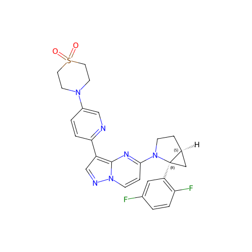 O=S1(=O)CCN(c2ccc(-c3cnn4ccc(N5CC[C@H]6C[C@]65c5cc(F)ccc5F)nc34)nc2)CC1